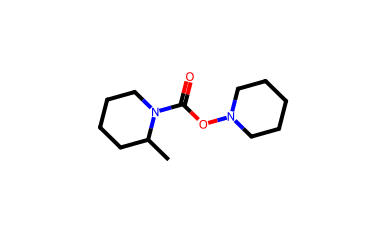 CC1CCCCN1C(=O)ON1CCCCC1